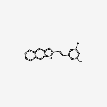 Fc1cc(F)cc(C=Cc2cc3cc4ccccc4cc3s2)c1